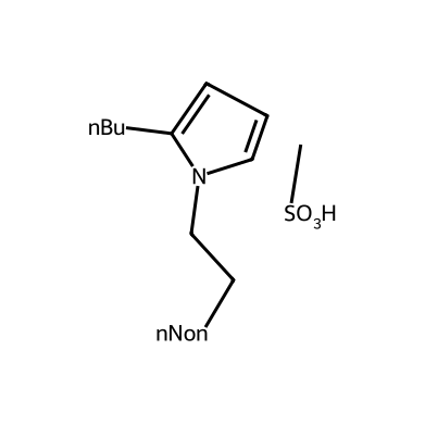 CCCCCCCCCCCn1cccc1CCCC.CS(=O)(=O)O